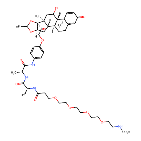 CCCC1O[C@@H]2C[C@H]3[C@@H]4CCC5=CC(=O)C=C[C@]5(C)[C@H]4C(O)C[C@]3(C)[C@]2(C(=O)COc2ccc(NC(=O)[C@H](C)NC(=O)[C@@H](NC(=O)CCOCCOCCOCCOCCNC(=O)O)C(C)C)cc2)O1